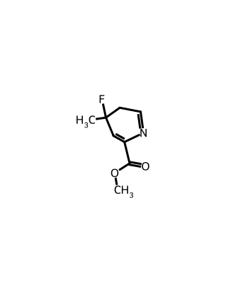 COC(=O)C1=CC(C)(F)CC=N1